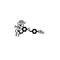 CC[C@@H](Cc1cccc(SCc2ccc(C(C)(C)C)cc2)c1)C(=O)ONC(=O)OC(C)(C)C